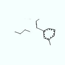 CCCC[C@H](CC)[C@@H](OCCN)c1cccc(Cl)c1